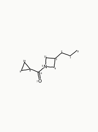 CCCC1CN(C(=O)C2CC2)C1